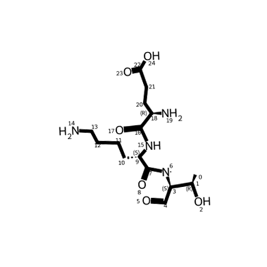 C[C@@H](O)[C@@H](C=O)[N]C(=O)[C@H](CCCCN)NC(=O)[C@H](N)CCC(=O)O